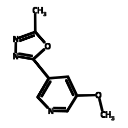 COc1cncc(-c2nnc(C)o2)c1